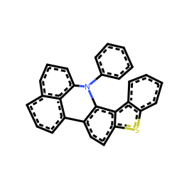 c1ccc(N2c3cccc4cccc(c34)-c3ccc4sc5ccccc5c4c32)cc1